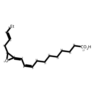 CCC=CCC1OC1=C/C=C\CCCCCCCC(=O)O